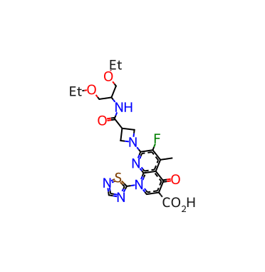 CCOCC(COCC)NC(=O)C1CN(c2nc3c(c(C)c2F)c(=O)c(C(=O)O)cn3-c2ncns2)C1